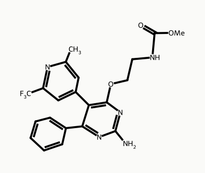 COC(=O)NCCOc1nc(N)nc(-c2ccccc2)c1-c1cc(C)nc(C(F)(F)F)c1